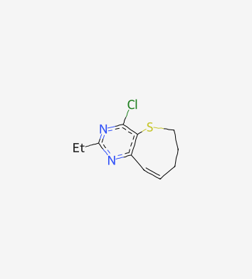 CCc1nc(Cl)c2c(n1)C=CCCCS2